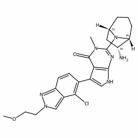 COCCn1cc2c(Cl)c(-c3c[nH]c4nc(N5[C@H]6CCC[C@@H]5[C@H](N)C6)n(C)c(=O)c34)ccc2n1